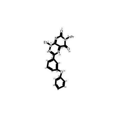 CCCn1c(=O)nc2n(CC)nc(-c3cccc(Oc4ccccc4)c3)nc-2c1=O